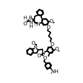 BC1(NC=O)/C=N\c2cc(OCCCCCOc3cc(N(CC4Cc5ccccc5N4C=O)C(=O)OCc4ccc(NC)cc4)c(C)cc3OC)c(OC)cc2-c2ccccc2C1